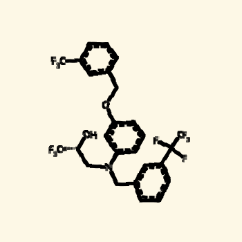 O[C@H](CN(Cc1cccc(C(F)(F)C(F)(F)F)c1)c1cccc(OCc2cccc(C(F)(F)F)c2)c1)C(F)(F)F